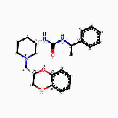 CC(NC(=O)N[C@H]1CCCN(C[C@H]2COc3ccccc3O2)C1)c1ccccc1